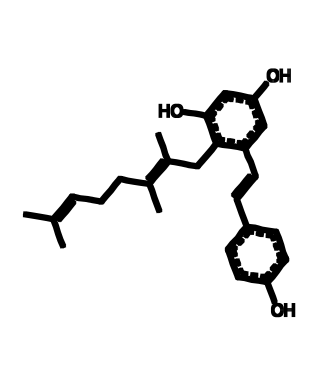 CC(C)=CCC/C(C)=C(\C)Cc1c(O)cc(O)cc1C=Cc1ccc(O)cc1